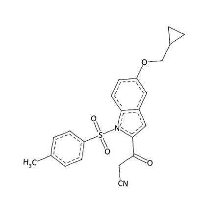 Cc1ccc(S(=O)(=O)n2c(C(=O)CC#N)cc3cc(OCC4CC4)ccc32)cc1